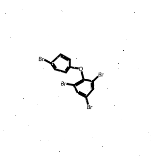 Brc1ccc(Oc2c(Br)cc(Br)cc2Br)cc1